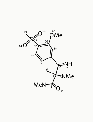 CNC(=O)C(C)(NC)C(=N)c1ccc(S(C)(=O)=O)c(OC)c1